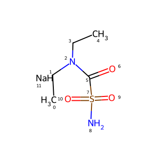 CCN(CC)C(=O)S(N)(=O)=O.[NaH]